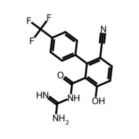 N#Cc1ccc(O)c(C(=O)NC(=N)N)c1-c1ccc(C(F)(F)F)cc1